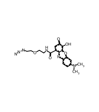 CN(C)c1ccc2nc3c(C(=O)NCCOCCN=[N+]=[N-])cc(=O)c(O)c-3oc2c1